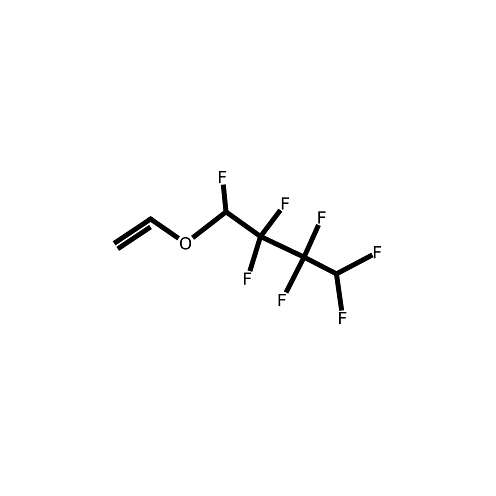 C=COC(F)C(F)(F)C(F)(F)C(F)F